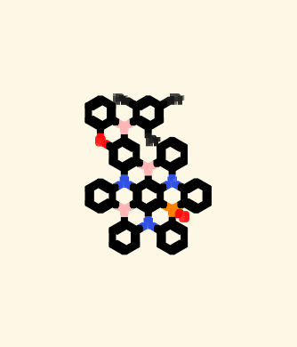 CC(C)c1cc(C(C)C)c(B2c3ccccc3Oc3cc4c(cc32)B2c3ccccc3N3c5ccccc5P5(=O)c6ccccc6N6c7ccccc7B7c8ccccc8N4c4c7c6c5c3c42)c(C(C)C)c1